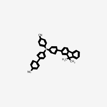 CC1(C)c2ccccc2-c2ccc(-c3ccc(N(c4ccc(C#N)cc4)c4ccc(-c5ccc(C#N)cc5)cc4)cc3)cc21